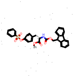 CC(C)OC(=O)[C@H](Cc1ccc(OS(=O)(=O)c2ccccc2)cc1)NC(=O)OCC1c2ccccc2-c2ccccc21